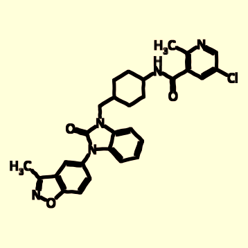 Cc1ncc(Cl)cc1C(=O)NC1CCC(Cn2c(=O)n(-c3ccc4onc(C)c4c3)c3ccccc32)CC1